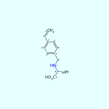 C=Cc1ccc(CNC(C(=O)O)C(C)C)cc1